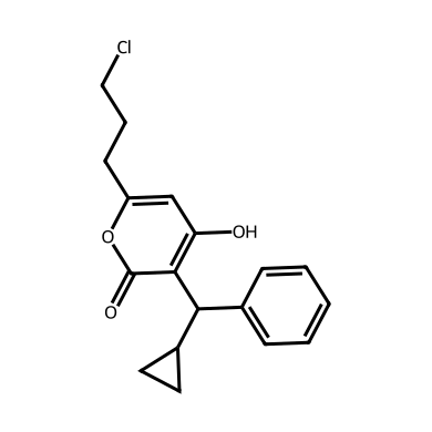 O=c1oc(CCCCl)cc(O)c1C(c1ccccc1)C1CC1